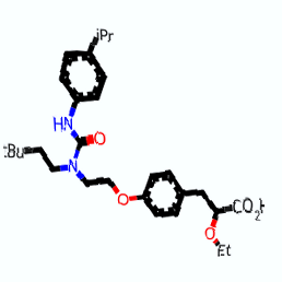 CCOC(Cc1ccc(OCCN(CCC(C)(C)C)C(=O)Nc2ccc(C(C)C)cc2)cc1)C(=O)O